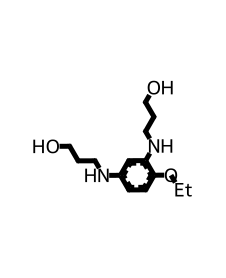 CCOc1ccc(NCCCO)cc1NCCCO